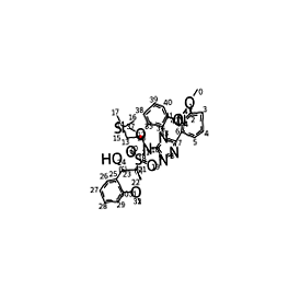 COc1cccc(-c2nnc(N(CC[Si](C)(C)C)S(=O)(=O)[C@@H](C)[C@@H](O)c3ccccc3OC)n2-c2c(OC)cccc2OC)n1